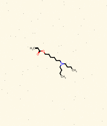 C=CC(=O)OCCCCCCN(CCCC)CCCC